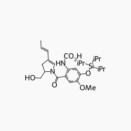 CC=CC1=CN(C(=O)c2cc(OC)c(O[Si](C(C)C)(C(C)C)C(C)C)cc2NC(=O)O)C(CO)C1